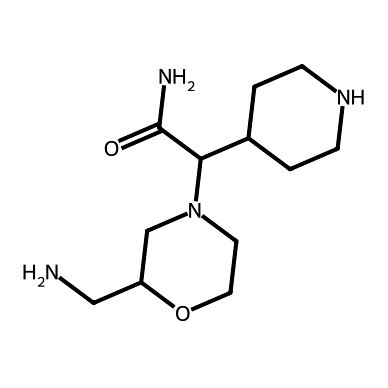 NCC1CN(C(C(N)=O)C2CCNCC2)CCO1